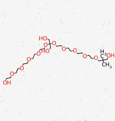 CC(C)(CO)COCCOCCOCCOCCOC(CO)(CO)OCCOCCOCCOCCOCCO